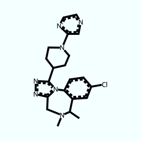 CC1c2cc(Cl)ccc2-n2c(nnc2C2CCN(c3cnccn3)CC2)CN1C